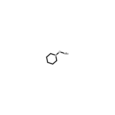 CCCCON1CCCCC1